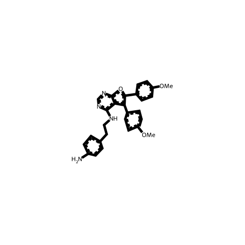 COc1ccc(-c2oc3ncnc(NCCc4ccc(N)cc4)c3c2-c2ccc(OC)cc2)cc1